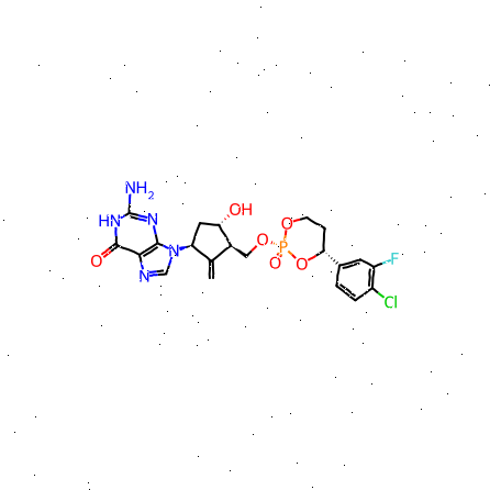 C=C1[C@H](CO[P@]2(=O)OCC[C@H](c3ccc(Cl)c(F)c3)O2)[C@@H](O)C[C@@H]1n1cnc2c(=O)[nH]c(N)nc21